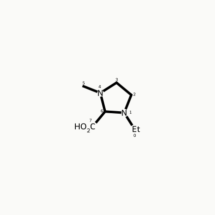 CCN1CCN(C)C1C(=O)O